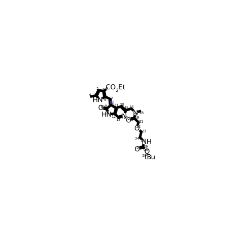 CCOC(=O)c1cc(C)[nH]c1/C=C1\C(=O)Nc2cnc(CN(C)C(=O)COCCNC(=O)OC(C)(C)C)cc21